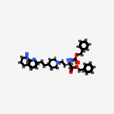 O=C(N[C@@H](CCN1CCC(CCc2ccc3c(n2)NCCC3)CC1)C(=O)OCc1ccccc1)OCc1ccccc1